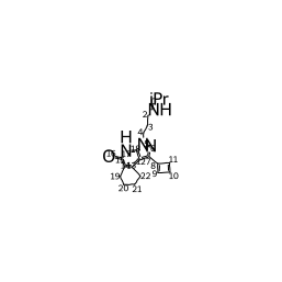 CC(C)NCCCn1nc(C2=CC=C2)c2c3c(c(=O)[nH]c21)CCCC3